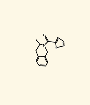 C[C@@H]1Cc2ccccc2CN1C(=O)c1cccs1